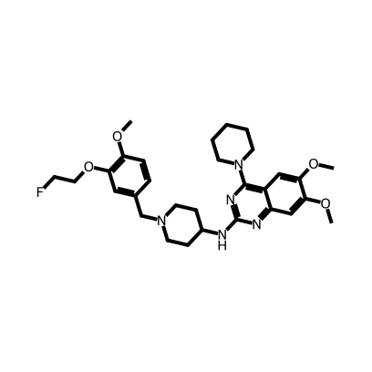 COc1cc2nc(NC3CCN(Cc4ccc(OC)c(OCCF)c4)CC3)nc(N3CCCCC3)c2cc1OC